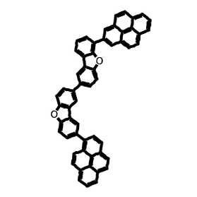 c1cc2ccc3cc(-c4cccc5c4oc4ccc(-c6ccc7oc8ccc(-c9ccc%10ccc%11cccc%12ccc9c%10c%11%12)cc8c7c6)cc45)cc4ccc(c1)c2c34